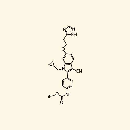 CC(C)OC(=O)Nc1ccc(-c2c(C#N)c3ccc(OCCc4ncn[nH]4)cc3n2CC2CC2)cc1